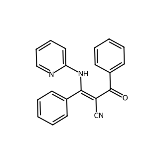 N#CC(C(=O)c1ccccc1)=C(Nc1ccccn1)c1ccccc1